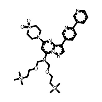 C[Si](C)(C)CCOCN(COCC[Si](C)(C)C)c1cc(N2CCS(=O)(=O)CC2)nc2c(-c3ccc(-c4cccnc4)nc3)cnn12